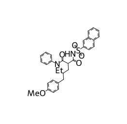 CCN(C(=O)C(CCCc1ccc(OC)cc1)C(=O)NS(=O)(=O)c1ccc2ccccc2c1)c1ccccc1